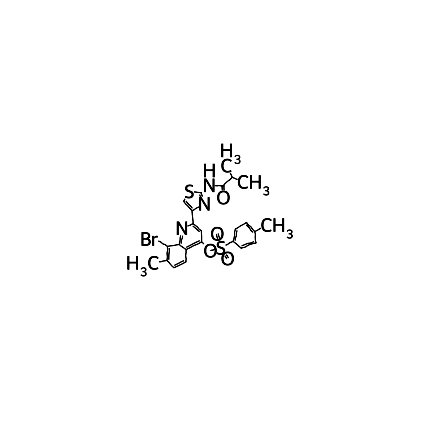 Cc1ccc(S(=O)(=O)Oc2cc(-c3csc(NC(=O)C(C)C)n3)nc3c(Br)c(C)ccc23)cc1